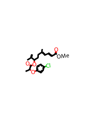 C=C(C)C(CCC(C)=CC=CC(=O)OC)OC(=O)C(C)Oc1ccc(Cl)cc1